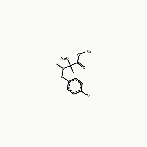 COC(C)(C(=O)OC(C)(C)C)N(C)Sc1ccc(Br)cc1